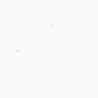 CCCCCc1ccc(C2CCC(c3ccc(Oc4ccc([N+](=O)[O-])cc4)cc3)(c3ccc(Oc4ccc([N+](=O)[O-])cc4)cc3)CC2)cc1